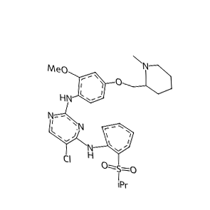 COc1cc(OCC2CCCCN2C)ccc1Nc1ncc(Cl)c(Nc2ccccc2S(=O)(=O)C(C)C)n1